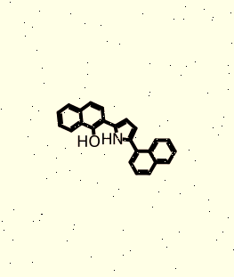 Oc1c(-c2ccc(-c3cccc4ccccc34)[nH]2)ccc2ccccc12